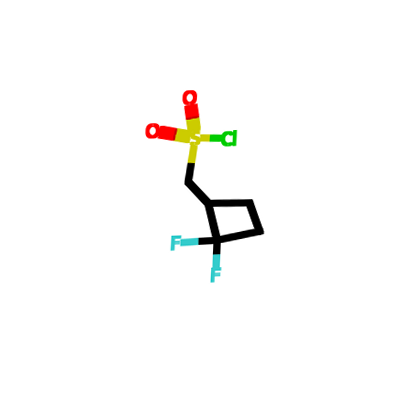 O=S(=O)(Cl)CC1CCC1(F)F